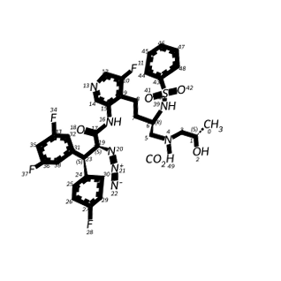 C[C@H](O)CN(C[C@@H](CCc1c(F)cncc1NC(=O)[C@@H](N=[N+]=[N-])[C@@H](c1ccc(F)cc1)c1cc(F)cc(F)c1)NS(=O)(=O)c1ccccc1)C(=O)O